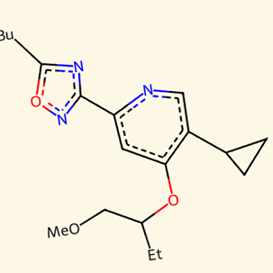 CCC(COC)Oc1cc(-c2noc(C(C)(C)C)n2)ncc1C1CC1